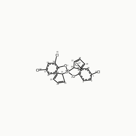 Clc1ccc([O][Zr]([O]c2ccc(Cl)cc2Cl)([CH]2C=CC=C2)[CH]2C=CC=C2)c(Cl)c1